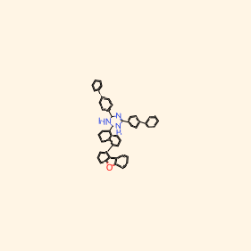 c1ccc(-c2ccc(C3=NC(c4ccc(-c5ccccc5)cc4)NC(c4cccc5c(-c6cccc7oc8ccccc8c67)cccc45)N3)cc2)cc1